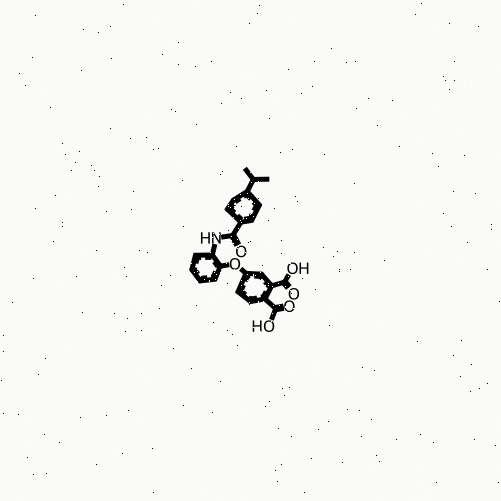 CC(C)c1ccc(C(=O)Nc2ccccc2Oc2ccc(C(=O)O)c(C(=O)O)c2)cc1